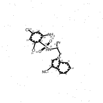 CC(C)[C@@H](Cn1cc(C#N)c2ccccc21)NS(=O)(=O)c1c(N)cc(Cl)cc1Cl